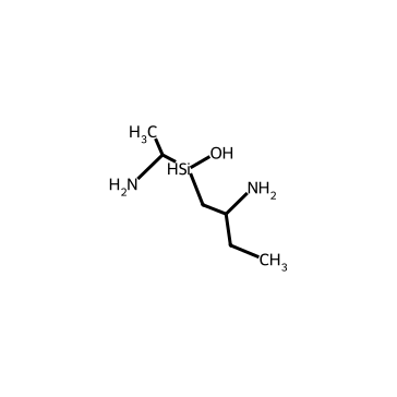 CCC(N)C[SiH](O)C(C)N